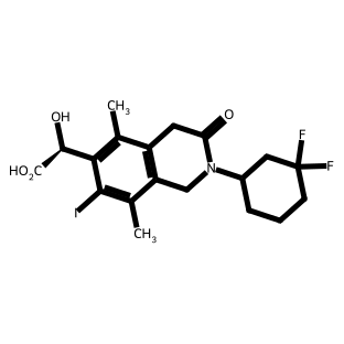 Cc1c(I)c([C@H](O)C(=O)O)c(C)c2c1CN(C1CCCC(F)(F)C1)C(=O)C2